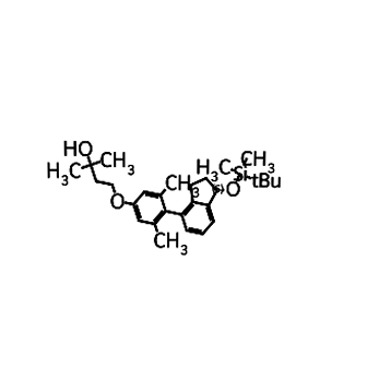 Cc1cc(OCCC(C)(C)O)cc(C)c1-c1cccc2c1CC[C@@H]2O[Si](C)(C)C(C)(C)C